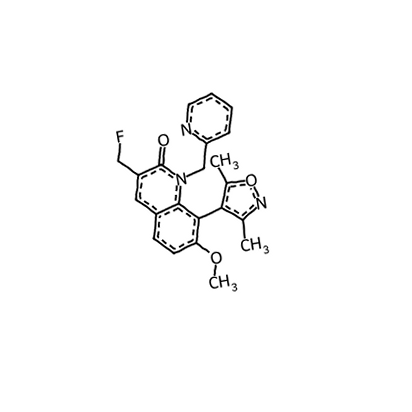 COc1ccc2cc(CF)c(=O)n(Cc3ccccn3)c2c1-c1c(C)noc1C